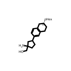 CCCCCC[C@@H]1CCc2cc(C3CCC(N)(CO)C3)ccc2C1